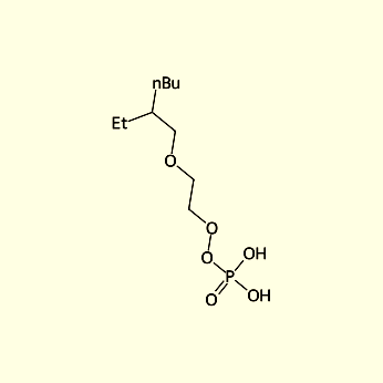 CCCCC(CC)COCCOOP(=O)(O)O